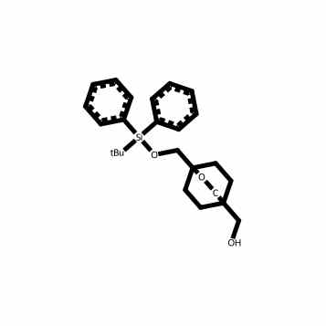 CC(C)(C)[Si](OCC12CCC(CO)(CC1)CO2)(c1ccccc1)c1ccccc1